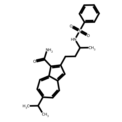 CC(CCc1cc2ccc(C(C)C)ccc-2c1C(N)=O)NS(=O)(=O)c1ccccc1